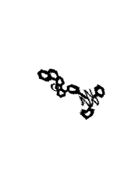 c1ccc(-c2nc(-c3ccccc3)nc(-c3cccc(-c4cccc5oc6c(ccc7ccc8ccccc8c76)c45)c3)n2)cc1